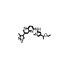 CCOC(C)c1cc(Nc2ccc3ncc(C4CN(C)N=C4C)cc3n2)n(C)c1